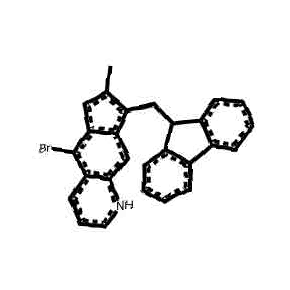 Cc1cc2c(Br)c3ccc[nH]c3cc2c1CC1c2ccccc2-c2ccccc21